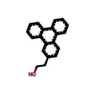 OCCc1ccc2c3ccccc3c3ccccc3c2c1